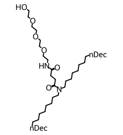 CCCCCCCCCCCCCCCCCCN(CCCCCCCCCCCCCCCCCC)C(=O)CCC(=O)NCCOCCOCCOCCO